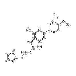 CCOc1ccc(-c2cc3[nH]c(CNCc4ccco4)nc3c(C#N)n2)cc1C(F)(F)F